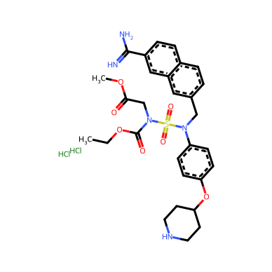 CCOC(=O)N(CC(=O)OC)S(=O)(=O)N(Cc1ccc2ccc(C(=N)N)cc2c1)c1ccc(OC2CCNCC2)cc1.Cl.Cl